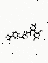 COc1cnc(Cl)cc1-c1cc(C)ncc1C(=O)Nc1nnc(O[C@H]2CCCN([C@H]3CCOC3)C2)s1